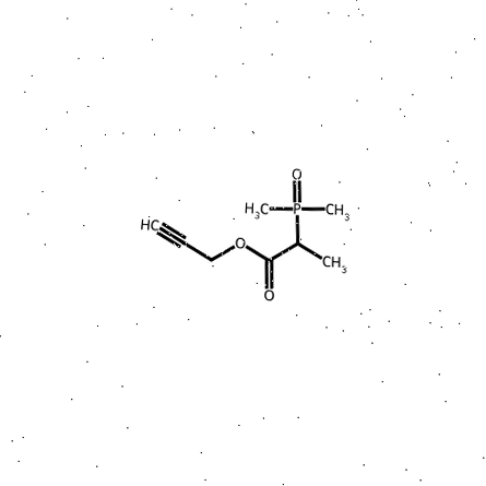 C#CCOC(=O)C(C)P(C)(C)=O